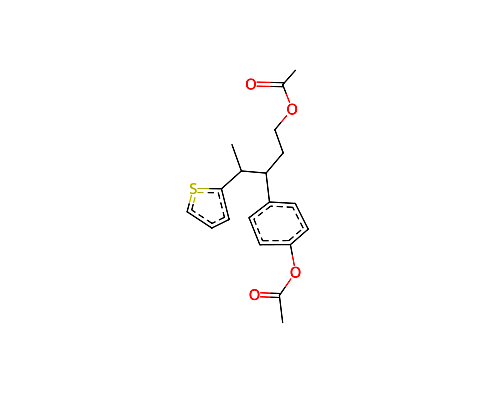 CC(=O)OCCC(c1ccc(OC(C)=O)cc1)C(C)c1cccs1